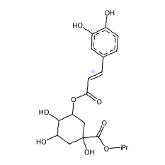 CC(C)OC(=O)C1(O)CC(O)C(O)C(OC(=O)/C=C/c2ccc(O)c(O)c2)C1